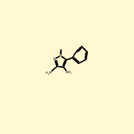 Cn1nc(N)c(N)c1-c1ccccc1